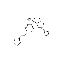 OC1(c2ccc(CCN3CCCC3)cc2)CCC2CN(C3=CC=C3)CC21